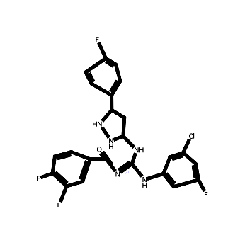 O=C(/N=C(/Nc1cc(F)cc(Cl)c1)NC1CC(c2ccc(F)cc2)NN1)c1ccc(F)c(F)c1